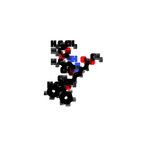 COC(=O)C[C@@H](/C=C/CCO[Si](c1ccccc1)(c1ccccc1)C(C)(C)C)NC(=O)[C@@H](NC(=O)OC(C)(C)C)C(C)C